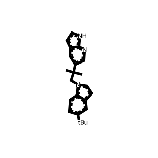 CC(C)(C)c1ccc2c(ccn2CC(C)(C)c2cnc3[nH]ccc3c2)c1